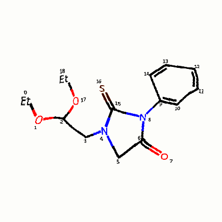 CCOC(CN1CC(=O)N(c2ccccc2)C1=S)OCC